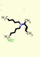 C/C=C/C(C)N(CCCCC)CCCCC.Cl